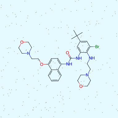 CC(C)(C)c1cc(Br)c(NCCN2CCOCC2)c(NC(=O)Nc2ccc(OCCN3CCOCC3)c3ccccc23)c1